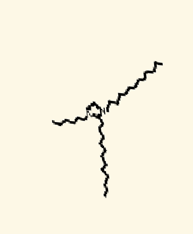 CCCCCCCCCCCCC[n+]1ccn(CCCCCC)c1CCCCCCCCCCCC